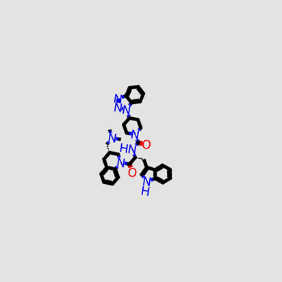 CN(C)C[C@H]1Cc2ccccc2N(C(=O)[C@@H](Cc2c[nH]c3ccccc23)NC(=O)N2CCC(n3nnc4ccccc43)CC2)C1